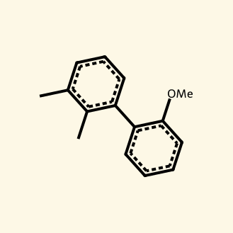 COc1ccccc1-c1cccc(C)c1C